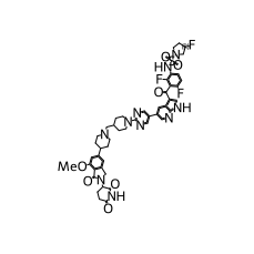 COc1cc(C2CCN(CC3CCN(c4ncc(-c5cnc6[nH]cc(C(=O)c7c(F)ccc(NS(=O)(=O)N8CC[C@@H](F)C8)c7F)c6c5)cn4)CC3)CC2)cc2c1C(=O)N(C1CCC(=O)NC1=O)C2